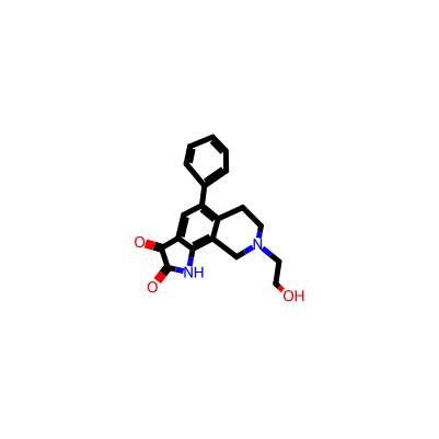 O=C1Nc2c(cc(-c3ccccc3)c3c2CN(CCO)CC3)C1=O